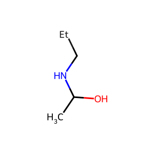 [CH2]CCNC(C)O